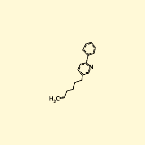 C=CCCCCc1ccc(-c2ccccc2)nc1